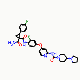 NC(=O)C1(C(=O)Nc2ccc(Oc3ccnc(NC(=O)N4CCC(N5CCCC5)CC4)c3)cc2F)CC1c1ccc(F)cc1